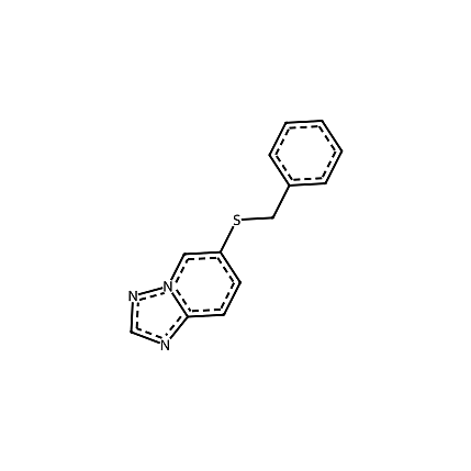 c1ccc(CSc2ccc3ncnn3c2)cc1